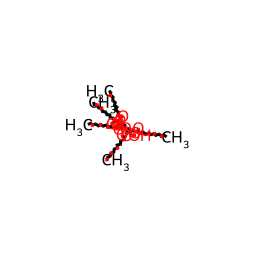 CCCCCCCCCCCC(=O)OCC(CO)(COCC(COC(=O)CCCCCCCCCCC)(COC(=O)CCCCCCCCCCC)COC(=O)CCCCCCCCCCC)COC(=O)CCCCCCCCCCC